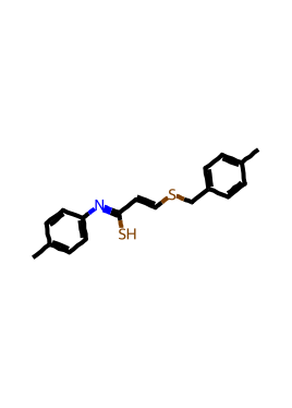 Cc1ccc(CSC=CC(S)=Nc2ccc(C)cc2)cc1